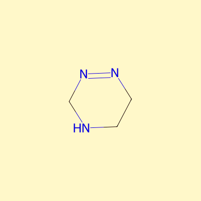 C1CNCN=N1